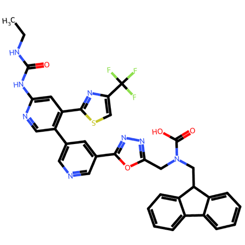 CCNC(=O)Nc1cc(-c2nc(C(F)(F)F)cs2)c(-c2cncc(-c3nnc(CN(CC4c5ccccc5-c5ccccc54)C(=O)O)o3)c2)cn1